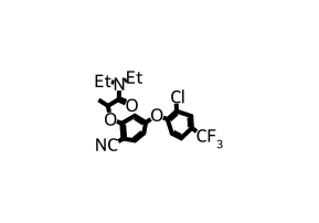 CCN(CC)C(=O)C(C)Oc1cc(Oc2ccc(C(F)(F)F)cc2Cl)ccc1C#N